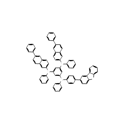 c1ccc(-c2ccc3cc(N(c4ccccc4)c4cc(N(c5ccccc5)c5ccc(-c6ccc7sc8ccccc8c7c6)cc5)cc(N(c5ccccc5)c5ccc6cc(-c7ccccc7)ccc6c5)c4)ccc3c2)cc1